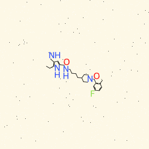 CCc1[nH]c(C(=O)NCCCCC2CCN(C(=O)c3cc(F)ccc3C)CC2)cc1CNC